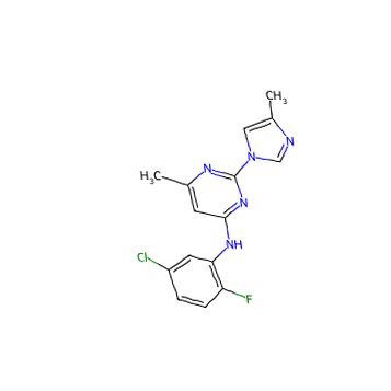 Cc1cn(-c2nc(C)cc(Nc3cc(Cl)ccc3F)n2)cn1